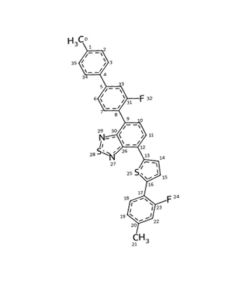 Cc1ccc(-c2ccc(-c3ccc(-c4ccc(-c5ccc(C)cc5F)s4)c4nsnc34)c(F)c2)cc1